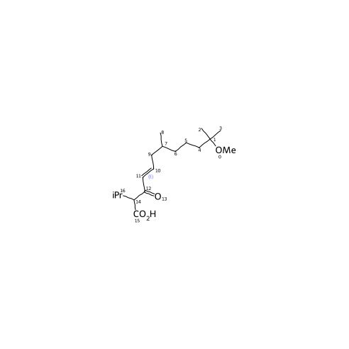 COC(C)(C)CCCC(C)C/C=C/C(=O)C(C(=O)O)C(C)C